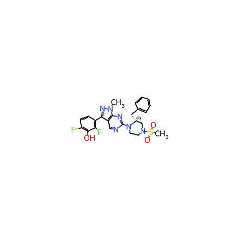 Cn1nc(-c2ccc(F)c(O)c2F)c2cnc(N3CCN(S(C)(=O)=O)C[C@H]3Cc3ccccc3)nc21